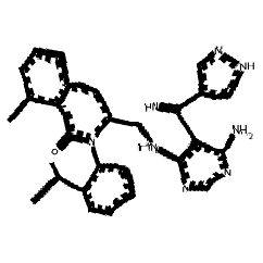 Cc1cccc2cc(CNc3ncnc(N)c3C(=N)c3cn[nH]c3)n(-c3ccccc3C(C)C)c(=O)c12